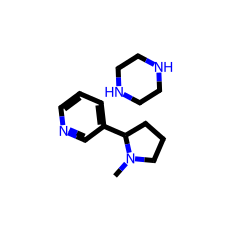 C1CNCCN1.CN1CCCC1c1cccnc1